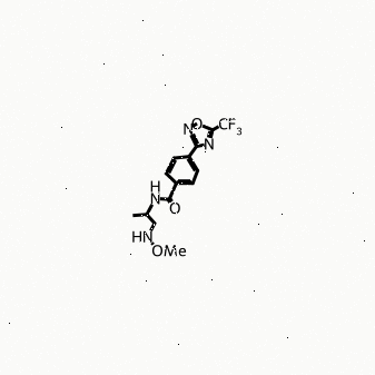 CONCC(C)NC(=O)c1ccc(-c2noc(C(F)(F)F)n2)cc1